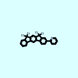 CCC1(CC)c2ccccc2-c2cc3c(cc21)C(CC)(CC)c1cc(-c2ccccn2)ccc1-3